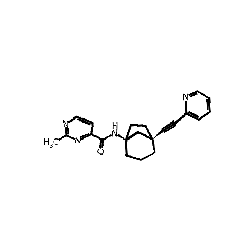 Cc1nccc(C(=O)N[C@@]23CCC[C@@](C#Cc4ccccn4)(CC2)C3)n1